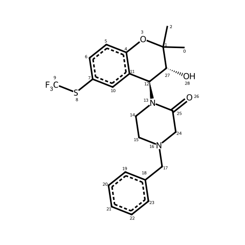 CC1(C)Oc2ccc(SC(F)(F)F)cc2[C@H](N2CCN(Cc3ccccc3)CC2=O)[C@H]1O